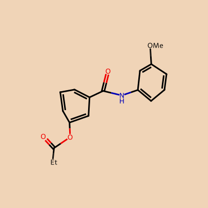 CCC(=O)Oc1cccc(C(=O)Nc2cccc(OC)c2)c1